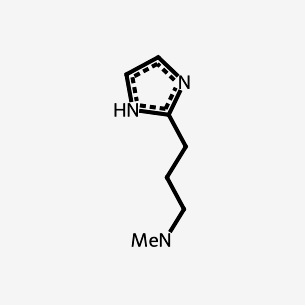 [CH2]NCCCc1ncc[nH]1